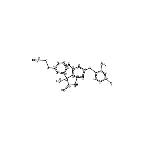 Cc1cc(Cl)ccc1Cc1nc(N)c2c(n1)NC(=O)C2(C)c1cccc(CCC(=O)O)c1